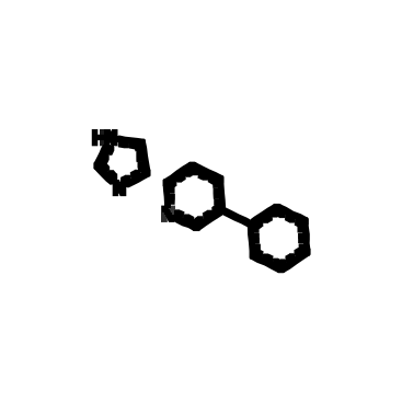 c1c[nH]cn1.c1ccc(-c2cccnc2)cc1